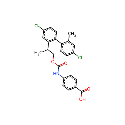 Cc1cc(Cl)ccc1-c1ccc(Cl)cc1C(C)COC(=O)Nc1ccc(C(=O)O)cc1